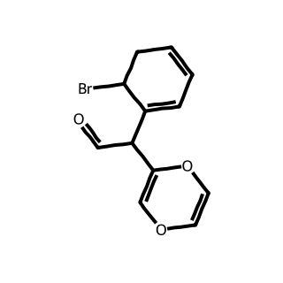 O=CC(C1=COC=CO1)C1=CC=CCC1Br